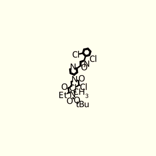 CCC(C(=O)CCN(C(=O)C(Cl)Cl)c1ccnc(-c2cc(-c3c(Cl)cccc3Cl)no2)c1)N(C)C(=O)OC(C)(C)C